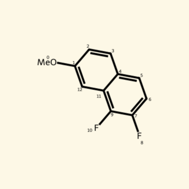 COc1ccc2ccc(F)c(F)c2c1